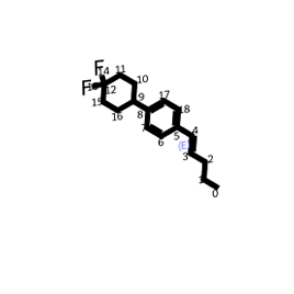 CCC/C=C/c1ccc(C2CCC(F)(F)CC2)cc1